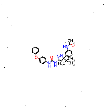 CC(=O)Nc1cccc(C2(C(C)(C)C)C=C(NC(=O)Nc3ccc(Oc4ccccc4)cc3)N=N2)c1